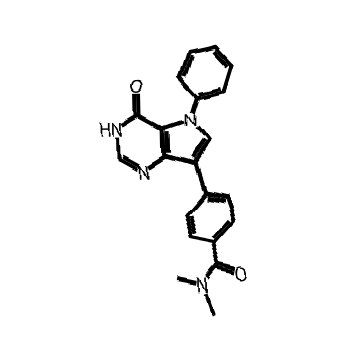 CN(C)C(=O)c1ccc(-c2cn(-c3ccccc3)c3c(=O)[nH]cnc23)cc1